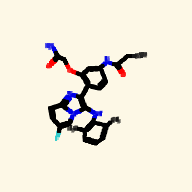 CNCC(=O)Nc1ccc(-c2nc3ccc(F)cn3c2Nc2c(C)cccc2C)c(OCC(N)=O)c1